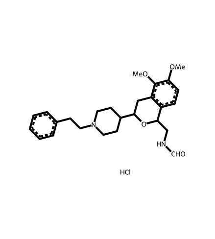 COc1ccc2c(c1OC)CC(C1CCN(CCc3ccccc3)CC1)OC2CNC=O.Cl